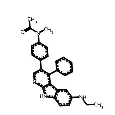 CCNc1ccc2[nH]c3ncc(-c4ccc(N(C)C(C)=O)cc4)c(-c4ccccc4)c3c2c1